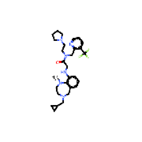 CN1CCN(CC2CC2)Cc2cccc(NCC(=O)N(CCN3CCCC3)Cc3ncccc3C(F)(F)F)c21